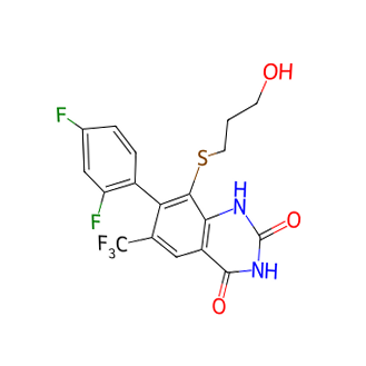 O=c1[nH]c(=O)c2cc(C(F)(F)F)c(-c3ccc(F)cc3F)c(SCCCO)c2[nH]1